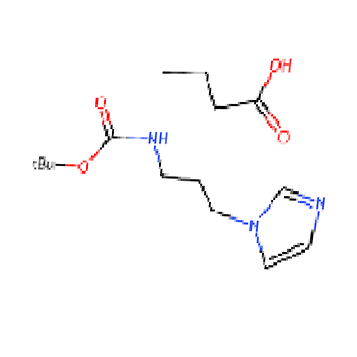 CC(C)(C)OC(=O)NCCCn1ccnc1.CCCC(=O)O